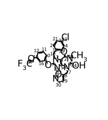 CN1C(=O)c2c(nc(Oc3cccc(OC(F)(F)F)c3)n2Cc2ccc(Cl)cc2)N(Cc2ccno2)C1O